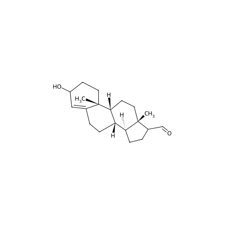 C[C@]12CCC(O)C=C1CC[C@@H]1[C@H]2CC[C@]2(C)C(C=O)CC[C@@H]12